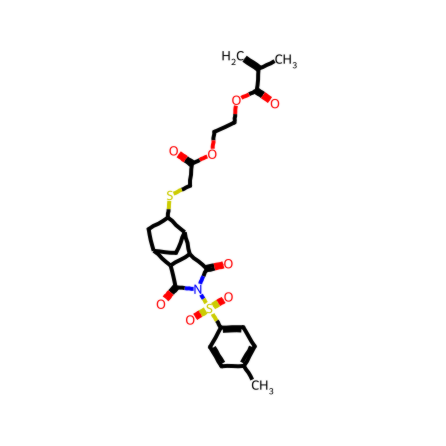 C=C(C)C(=O)OCCOC(=O)CSC1CC2CC1C1C(=O)N(S(=O)(=O)c3ccc(C)cc3)C(=O)C21